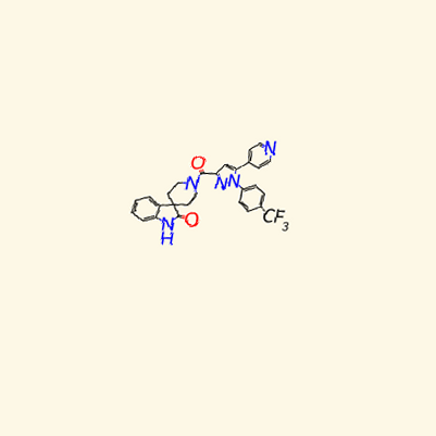 O=C(c1cc(-c2ccncc2)n(-c2ccc(C(F)(F)F)cc2)n1)N1CCC2(CC1)C(=O)Nc1ccccc12